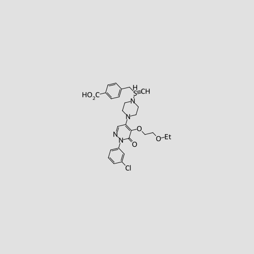 C#[SH](Cc1ccc(C(=O)O)cc1)N1CCN(c2cnn(-c3cccc(Cl)c3)c(=O)c2OCCOCC)CC1